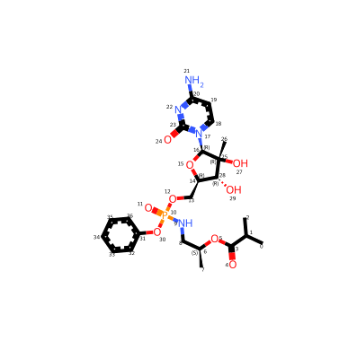 CC(C)C(=O)O[C@@H](C)CNP(=O)(OC[C@H]1O[C@@H](n2ccc(N)nc2=O)[C@](C)(O)[C@@H]1O)Oc1ccccc1